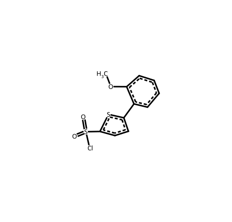 COc1ccccc1-c1ccc(S(=O)(=O)Cl)s1